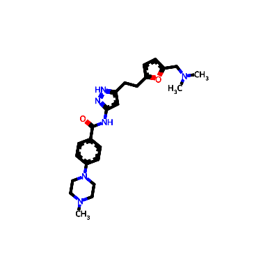 CN(C)Cc1ccc(CCc2cc(NC(=O)c3ccc(N4CCN(C)CC4)cc3)n[nH]2)o1